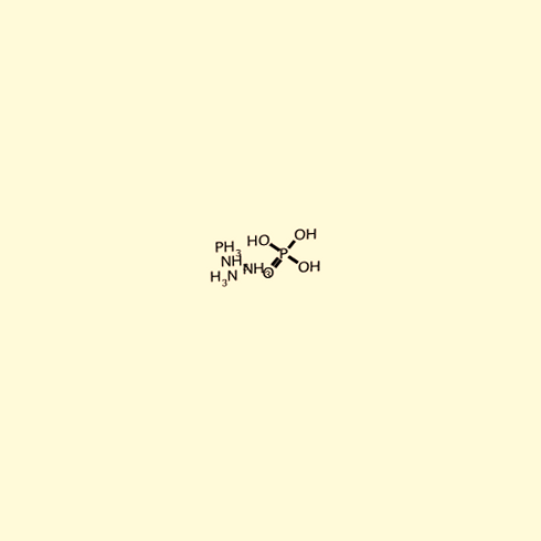 N.N.N.O=P(O)(O)O.P